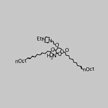 CCCCCCCCC=CCCCCCCCC(=O)OCC(OCCN1CCN(CC)CC1)C(OC(=O)CCCCCCCC=CCCCCCCCC)C(N)=O